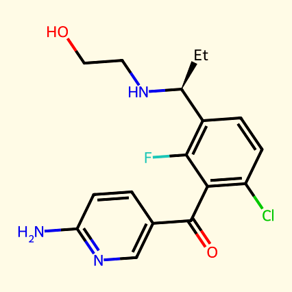 CC[C@H](NCCO)c1ccc(Cl)c(C(=O)c2ccc(N)nc2)c1F